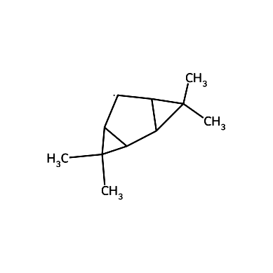 CC1(C)C2[CH]C3C(C21)C3(C)C